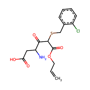 C=CCOC(=O)C(SCc1ccccc1Cl)C(=O)C(N)CC(=O)O